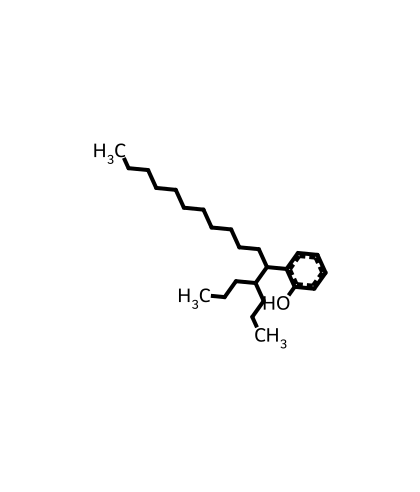 CCCCCCCCCCCC(c1ccccc1O)C(CCC)CCC